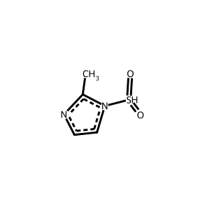 Cc1nccn1[SH](=O)=O